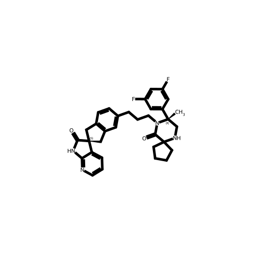 C[C@@]1(c2cc(F)cc(F)c2)CNC2(CCCC2)C(=O)N1CCCc1ccc2c(c1)C[C@]1(C2)C(=O)Nc2ncccc21